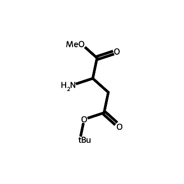 COC(=O)C(N)CC(=O)OC(C)(C)C